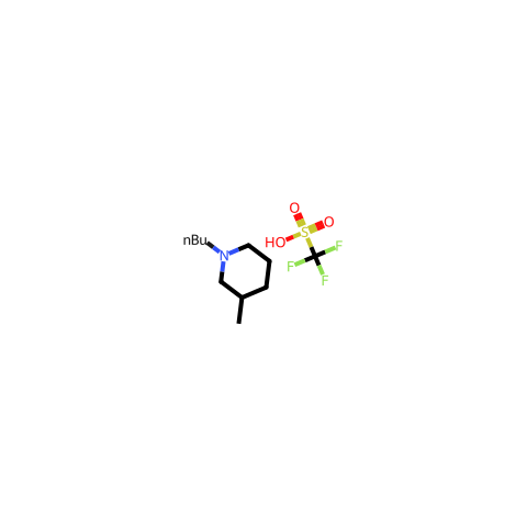 CCCCN1CCCC(C)C1.O=S(=O)(O)C(F)(F)F